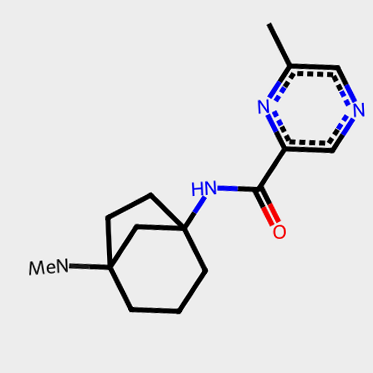 CNC12CCCC(NC(=O)c3cncc(C)n3)(CC1)C2